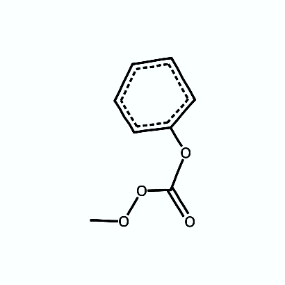 COOC(=O)Oc1ccccc1